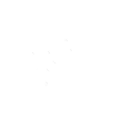 CC1CN(c2nc(-c3ccnc(Nc4ccccc4)c3)nc3cncc(C4CC4)c23)CCN1